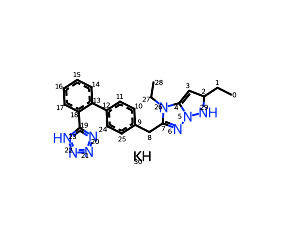 CCC1C=C2N(N=C(Cc3ccc(-c4ccccc4-c4nnn[nH]4)cc3)N2CC)N1.[KH]